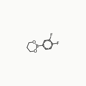 Fc1ccc(B2OCCCO2)cc1F